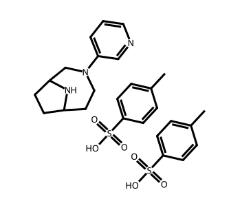 Cc1ccc(S(=O)(=O)O)cc1.Cc1ccc(S(=O)(=O)O)cc1.c1cncc(N2CCC3CCC(C2)N3)c1